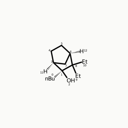 CCCC[C@]1(O)[C@H]2CC[C@H](C2)C1(CC)CC